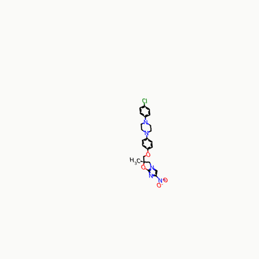 C[C@@]1(COc2ccc(N3CCN(c4ccc(Cl)cc4)CC3)cc2)Cn2cc([N+](=O)[O-])nc2O1